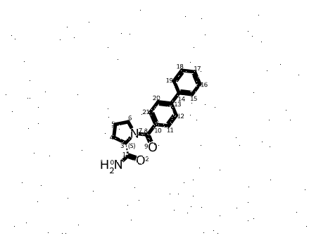 NC(=O)[C@@H]1CCCN1C(=O)c1ccc(-c2ccccc2)cc1